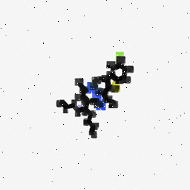 C=CC/C=C(/CCC=C)c1cc(C)nn2c(-c3sc4ccc(F)cc4c3C)c(C)nc12